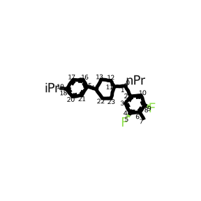 CCCC(c1cc(F)c(C)c(F)c1)C1CCC(c2ccc(C(C)C)cc2)CC1